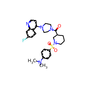 CN(C)c1ccc(S(=O)(=O)N2CCCC(C(=O)N3CCN(c4ccnc5cc(F)ccc45)CC3)C2)cc1